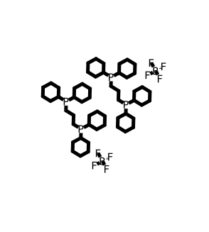 C1CCC(P(CCCP(C2CCCCC2)C2CCCCC2)C2CCCCC2)CC1.C1CCC(P(CCCP(C2CCCCC2)C2CCCCC2)C2CCCCC2)CC1.F[B-](F)(F)F.F[B-](F)(F)F